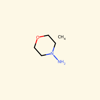 C.NN1CCOCC1